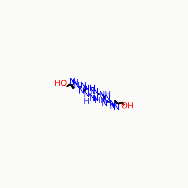 OCc1cn(-c2n[nH]c(Nc3nnc(Nc4nc(-n5cc(CO)nn5)n[nH]4)nn3)n2)nn1